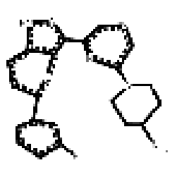 NC1CCN(c2cncc(-c3n[nH]c4ccc(-c5cccc(F)n5)cc34)n2)CC1